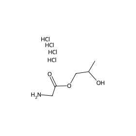 CC(O)COC(=O)CN.Cl.Cl.Cl.Cl